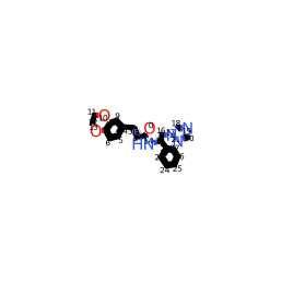 O=C(/C=C/c1ccc2c(c1)OCCO2)NC(Cn1cncn1)c1ccccc1